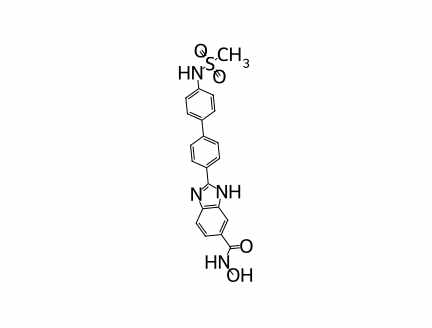 CS(=O)(=O)Nc1ccc(-c2ccc(-c3nc4ccc(C(=O)NO)cc4[nH]3)cc2)cc1